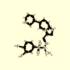 CN(N=Cc1cnc2ccc(-c3cccnc3)cn12)S(=O)(=O)c1ccc(F)c(F)c1